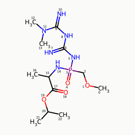 COCP(=O)(NC(=N)NC(=N)N(C)C)NC(C)C(=O)OC(C)C